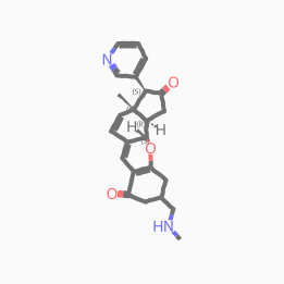 CNCC1CC(=O)C2=C(C1)O[C@@H]1C(=C2)C=C[C@]2(C)[C@@H](c3cccnc3)C(=O)C[C@@H]12